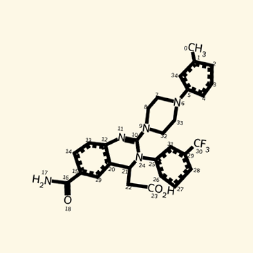 Cc1cccc(N2CCN(C3=Nc4ccc(C(N)=O)cc4C(CC(=O)O)N3c3cccc(C(F)(F)F)c3)CC2)c1